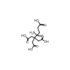 NC(N)(CCC(=O)O)C(CC(=O)O)(CC(=O)O)CC(=O)O